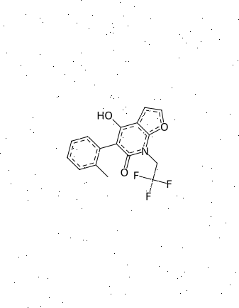 Cc1ccccc1-c1c(O)c2ccoc2n(CC(F)(F)F)c1=O